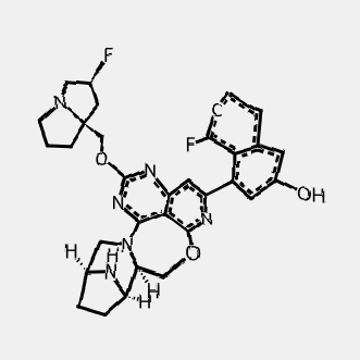 Oc1cc(-c2cc3nc(OC[C@@]45CCCN4C[C@@H](F)C5)nc4c3c(n2)OC[C@H]2[C@H]3CC[C@@H](CN42)N3)c2c(F)cccc2c1